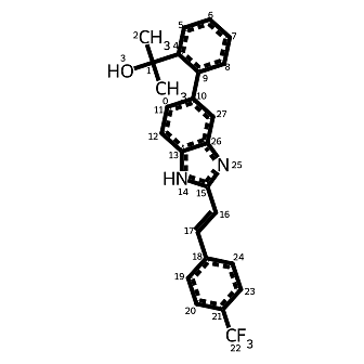 CC(C)(O)c1ccccc1-c1ccc2[nH]c(C=Cc3ccc(C(F)(F)F)cc3)nc2c1